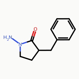 NN1CCC(Cc2ccccc2)C1=O